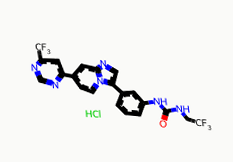 Cl.O=C(NCC(F)(F)F)Nc1cccc(-c2cnc3cc(-c4cc(C(F)(F)F)ncn4)ccn23)c1